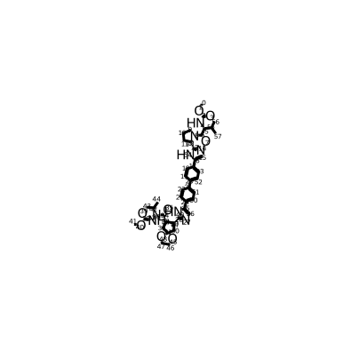 COC(=O)NC(C(=O)N1CCC[C@H]1c1ncc(-c2ccc(-c3ccc(-c4cnc([C@H]5CC6(C[C@@H]5C(=O)N(NC(=O)OC)C(C)C)OCCO6)[nH]4)cc3)cc2)[nH]1)C(C)C